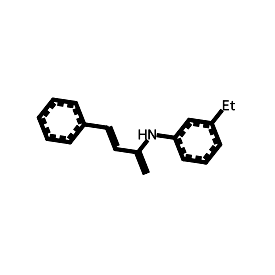 C=C(/C=C/c1ccccc1)Nc1cccc(CC)c1